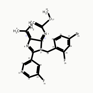 C=C(/N=C1\C(=C(\C)N)N=C(c2cncc(F)c2)N1Cc1ccc(Br)cc1F)OC